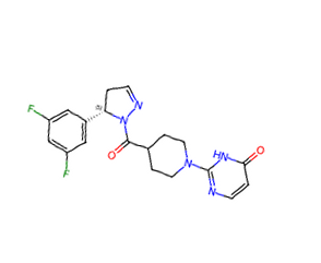 O=C(C1CCN(c2nccc(=O)[nH]2)CC1)N1N=CC[C@H]1c1cc(F)cc(F)c1